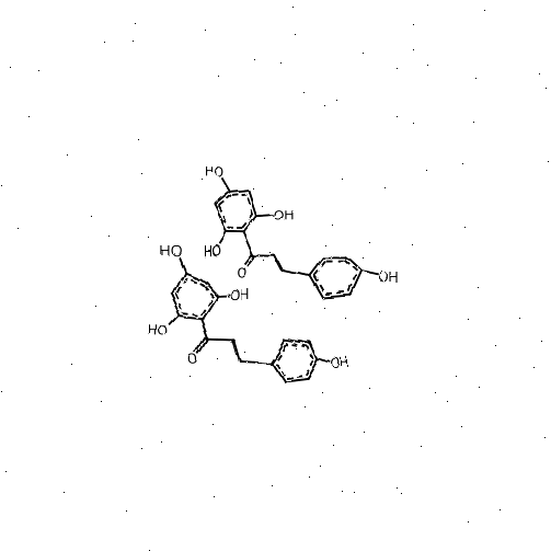 O=C(CCc1ccc(O)cc1)c1c(O)cc(O)cc1O.O=C(CCc1ccc(O)cc1)c1c(O)cc(O)cc1O